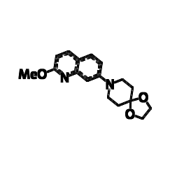 COc1ccc2ccc(N3CCC4(CC3)OCCO4)cc2n1